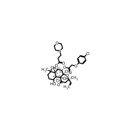 C=C[C@@]1(C)CC(=O)[C@]2(O)[C@@]3(C)[C@@H](O)CCC(C)(C)[C@@H]3[C@H](OC(=O)CCN3CCOCC3)[C@H](OC(=O)COc3ccc(Cl)cc3)[C@@]2(C)O1